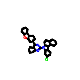 Clc1ccc2c3c4ccccc4ccc3n(-c3nc(-c4ccc5c(c4)oc4ccccc45)c4ccccc4n3)c2c1